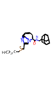 O=C(O)CSCc1cn2c(C(=O)NCC34CC5CC(CC(C5)C3)C4)cccc2n1